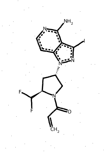 C=CC(=O)N1C[C@@H](n2nc(I)c3c(N)nccc32)C[C@@H]1C(F)F